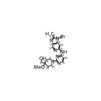 COC1(CO)CCN(c2nccc(Nc3cc4c(cn3)nc(C)n4C(C)C)n2)CC1